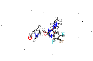 CC(C)(c1ccccc1)N1C2C=CC1CN(c1nc(OCC3(CN4CCOCC4)CC3)nc3c(F)c(Br)c(F)cc13)C2